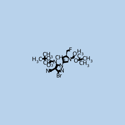 CN(C(=O)OC(C)(C)C)c1c(C#N)c(Br)nn1C1C[C@@H](CF)N(C(=O)OC(C)(C)C)C1